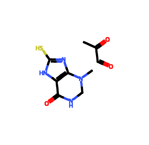 CC(=O)C=O.CN1CNC(=O)c2[nH]c(S)nc21